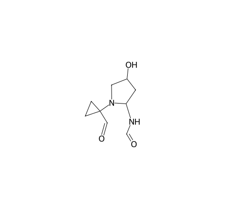 O=CNC1CC(O)CN1C1(C=O)CC1